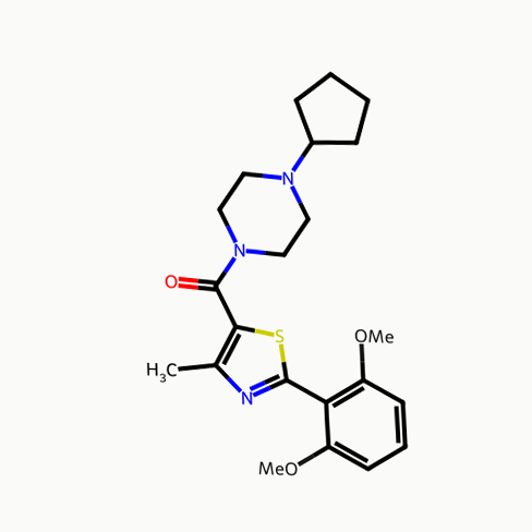 COc1cccc(OC)c1-c1nc(C)c(C(=O)N2CCN(C3CCCC3)CC2)s1